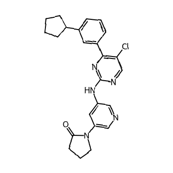 O=C1CCCN1c1cncc(Nc2ncc(Cl)c(-c3cccc(C4CCCC4)c3)n2)c1